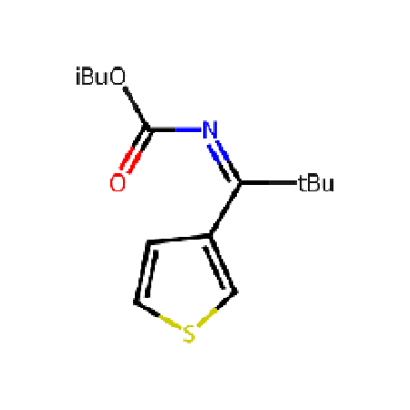 CC(C)COC(=O)/N=C(\c1ccsc1)C(C)(C)C